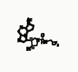 CC[C@@H]1CN(C(=O)NCC(F)(F)F)C[C@@H]1c1cnc2cnc3c(ccn3C(C)=O)n12